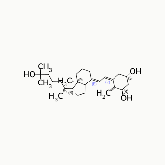 C=C1/C(=C\C=C2/CCC[C@@]3(C)C2CC[C@@H]3[C@H](C)CCCC(C)(C)O)C[C@H](O)C[C@H]1O